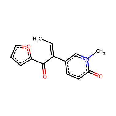 CC=C(C(=O)c1ccco1)c1ccc(=O)n(C)c1